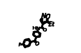 CCc1oncc1C(=O)Nc1ccc(C(=O)c2ccc(F)cc2)cc1